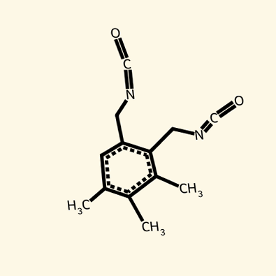 Cc1cc(CN=C=O)c(CN=C=O)c(C)c1C